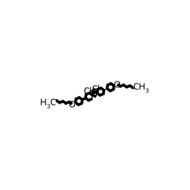 CCCCCCOC1CCC(C2CC[C@]3(CC2)C[C@@]2(CC[C@H](C4CCC(OCCCCCC)CC4)CC2)C3(Cl)Cl)CC1